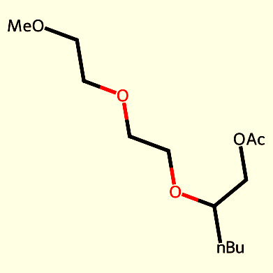 CCCCC(COC(C)=O)OCCOCCOC